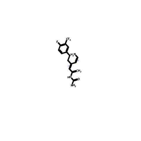 C=C(/C=C(\C=C/N)CCc1ccc(F)c(C(F)(F)F)c1)NC(N)=O